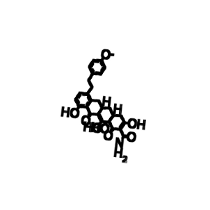 COc1ccc(CCc2ccc(O)c3c2C[C@H]2C[C@H]4CC(O)=C(C(N)=O)C(=O)[C@@]4(O)C(O)=C2C3=O)cc1